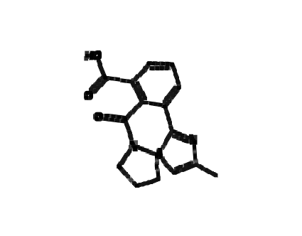 Cc1csc(-c2cccc(C(=O)O)c2C(=O)N2CCCC2)n1